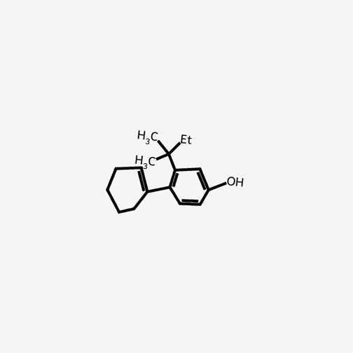 CCC(C)(C)c1cc(O)ccc1C1=CCCCC1